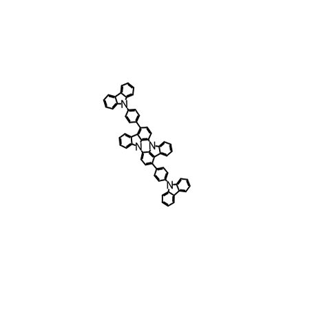 c1ccc2c(c1)c1ccccc1n2-c1ccc(-c2ccc3c4c2c2ccccc2n4c2ccc(-c4ccc(-n5c6ccccc6c6ccccc65)cc4)c4c5ccccc5n3c42)cc1